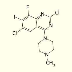 CN1CCN(c2nc(Cl)nc3c(F)c(I)c(Cl)cc23)CC1